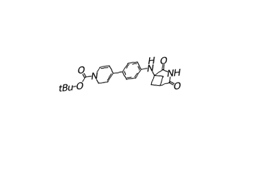 CC(C)(C)OC(=O)N1C=CC(c2ccc(NC34CC(C3)C(=O)NC4=O)cc2)=CC1